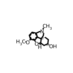 COc1ccc2c3c1O[C@H]1C[C@@H](O)CC[C@@]31CCN(C)C2